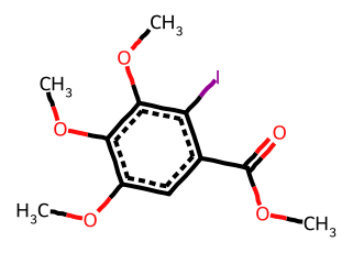 COC(=O)c1cc(OC)c(OC)c(OC)c1I